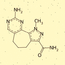 Cn1nc(C(N)=O)c2c1-c1nc(N)ncc1CCC2